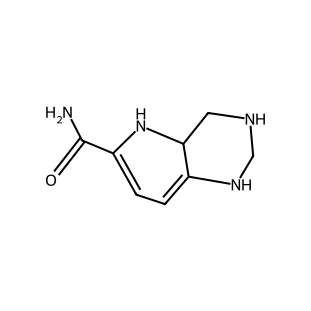 NC(=O)C1=CC=C2NCNCC2N1